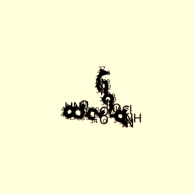 O=C(O[C@H](Cc1cc(Cl)c2[nH]ncc2c1)C(=O)N1CCC(N2CCN(CC3CC3)CC2)CC1)N1CCC(N2CCc3ccccc3NC2=O)CC1